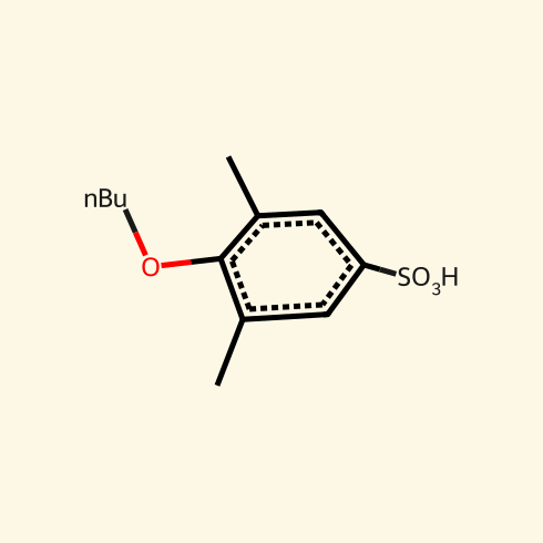 CCCCOc1c(C)cc(S(=O)(=O)O)cc1C